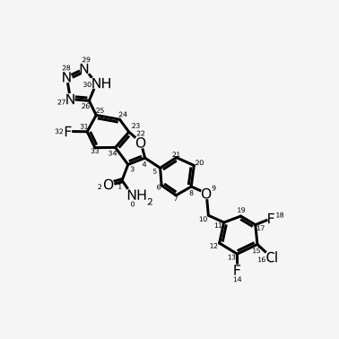 NC(=O)c1c(-c2ccc(OCc3cc(F)c(Cl)c(F)c3)cc2)oc2cc(-c3nnn[nH]3)c(F)cc12